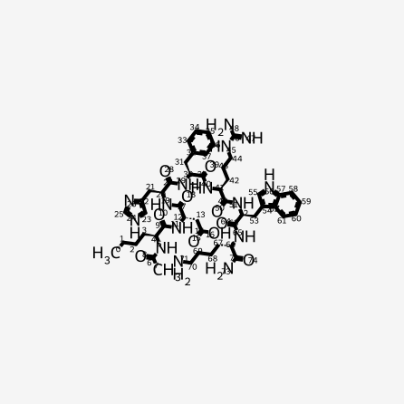 CCCC[C@H](NC(C)=O)C(=O)N[C@@H](CC(=O)O)C(=O)N[C@@H](Cc1c[nH]cn1)C(=O)N[C@@H](Cc1ccccc1)C(=O)N[C@@H](CCCNC(=N)N)C(=O)N[C@@H](Cc1c[nH]c2ccccc12)C(=O)N[C@@H](CCCCN)C(N)=O